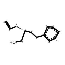 C=CC[C@@H](CO)CCc1ccccc1